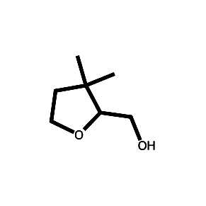 CC1(C)CCOC1CO